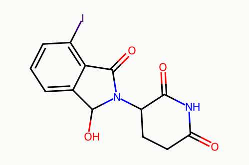 O=C1CCC(N2C(=O)c3c(I)cccc3C2O)C(=O)N1